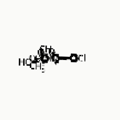 COc1cc(-n2ncc(C#Cc3ccc(Cl)cc3)cc2=O)ccc1OCC(C)(C)O